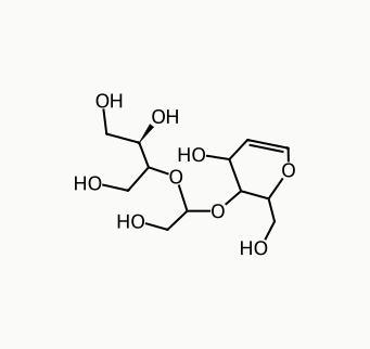 OCC(OC1C(O)C=COC1CO)OC(CO)[C@H](O)CO